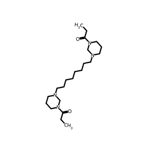 CCC(=O)N1CCCN(CCCCCCCCN2CCCN(C(=O)CC)C2)C1